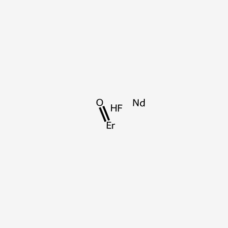 F.[Nd].[O]=[Er]